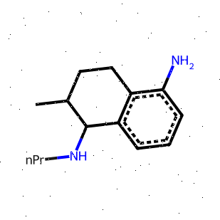 CCCNC1c2cccc(N)c2CCC1C